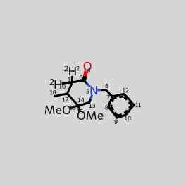 [2H]C1([2H])C(=O)N(Cc2ccccc2)CC(OC)(OC)C1C